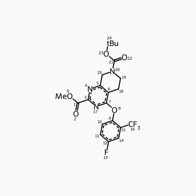 COC(=O)c1nc2c(c(Oc3ccc(F)cc3C(F)(F)F)n1)CCN(C(=O)OC(C)(C)C)C2